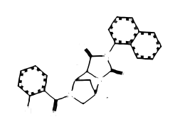 O=C1[C@@H]2C3C[C@H](CN3C(=O)c3ccccc3C(F)(F)F)N2C(=O)N1c1cccc2ccccc12